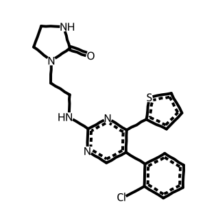 O=C1NCCN1CCNc1ncc(-c2ccccc2Cl)c(-c2cccs2)n1